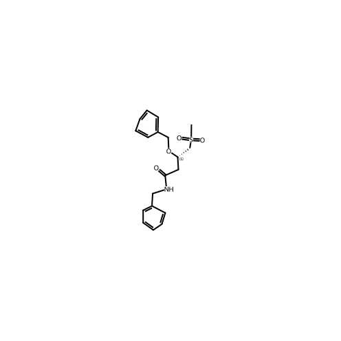 CS(=O)(=O)C[C@H](CC(=O)NCc1ccccc1)OCc1ccccc1